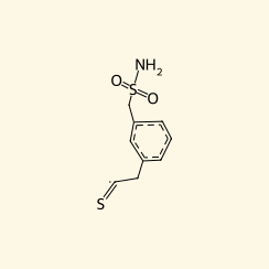 NS(=O)(=O)Cc1cccc(C[C]=S)c1